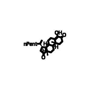 CCCCCC(C)[C@H]1CC(=O)[C@@]2(C)CC[C@H]3[C@@H](CCC4=C(O)C(=O)CC[C@@]43C)[C@H]12